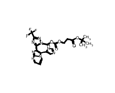 CC(C)(C)OC(=O)CCOC(=O)OCn1nc(C(F)(F)F)nc1-c1nc2ncccn2c1-c1cnc[nH]1